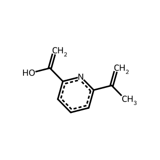 C=C(C)c1cccc(C(=C)O)n1